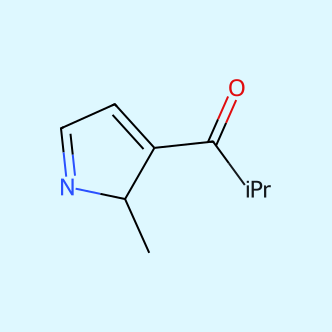 CC(C)C(=O)C1=CC=NC1C